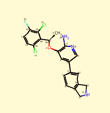 C[C@@H](Oc1cc(-c2ccc3c(c2)CNC3)cnc1N)c1c(Cl)ccc(F)c1Cl